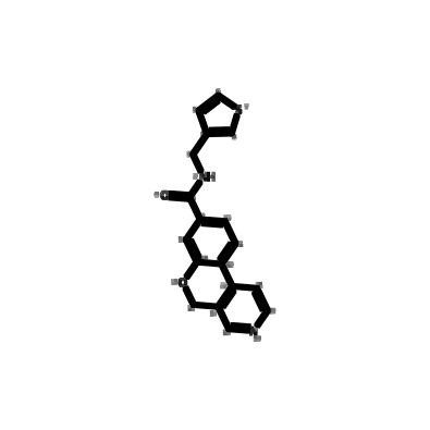 O=C(NCc1ccsc1)c1ccc2c(c1)OCc1cnccc1-2